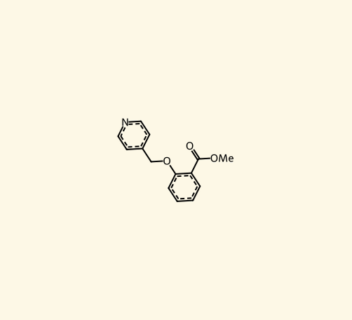 COC(=O)c1ccccc1OCc1ccncc1